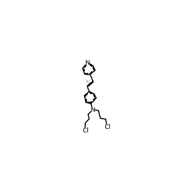 ClCCCN(CCCCl)c1ccc(/C=C/c2ccncc2)cc1